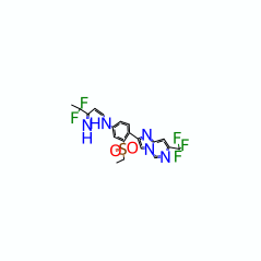 CCS(=O)(=O)c1cc(N/C=C\C(=N)C(C)(F)F)ccc1-c1cn2cnc(C(F)(F)F)cc2n1